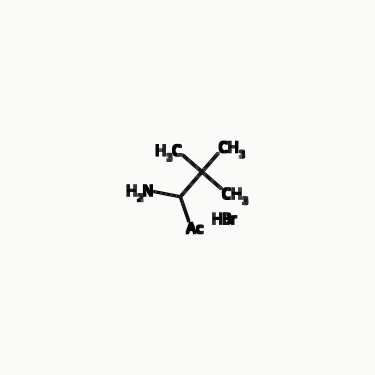 Br.CC(=O)C(N)C(C)(C)C